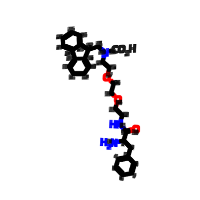 NC(Cc1ccccc1)C(=O)NCCOCCOCCN(CC1c2ccccc2-c2ccccc21)C(=O)O